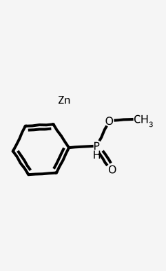 CO[PH](=O)c1ccccc1.[Zn]